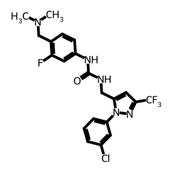 CN(C)Cc1ccc(NC(=O)NCc2cc(C(F)(F)F)nn2-c2cccc(Cl)c2)cc1F